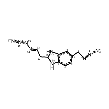 [N-]=[N+]=NCc1ccc2c(c1)NC(CC=NN=[N+]=[N-])N2